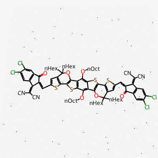 [C-]#[N+]/C(C#N)=C1\C(=C\c2cc3c(s2)-c2sc4c(OCCCCCCCC)c5c6c(sc5c(OCCCCCCCC)c4c2OC3(CCCCCC)CCCCCC)-c2sc(/C=C3\C(=O)c4cc(Cl)c(Cl)cc4\C3=C(\C#N)[N+]#[C-])cc2C(CCCCCC)(CCCCCC)O6)C(=O)c2cc(Cl)c(Cl)cc21